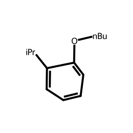 CCCCOc1ccccc1C(C)C